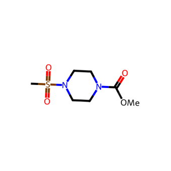 COC(=O)N1CCN(S(C)(=O)=O)CC1